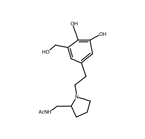 CC(=O)NCC1CCCN1CCc1cc(O)c(O)c(CO)c1